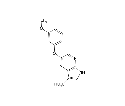 O=C(O)c1c[nH]c2ncc(Oc3cccc(OC(F)(F)F)c3)nc12